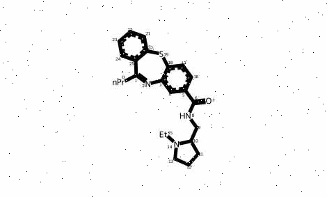 CCCC1=Nc2cc(C(=O)NCC3CCCN3CC)ccc2Sc2ccccc21